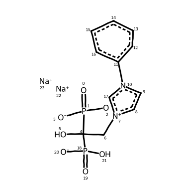 O=P([O-])([O-])C(O)(C[n+]1ccn(-c2ccccc2)c1)P(=O)([O-])O.[Na+].[Na+]